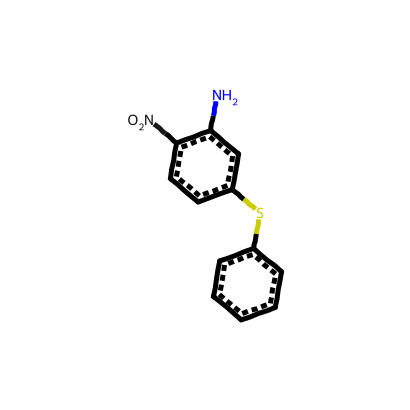 Nc1cc(Sc2ccccc2)ccc1[N+](=O)[O-]